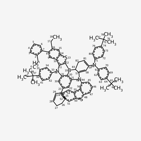 CCc1ccccc1-c1cc2c3c(sc2cc1CC)B1c2c(cc(C4=CCCC=C4)cc2N3c2ccc(C(C)(C)C)cc2)N(c2cccc3sc4ccccc4c23)C2=CC(N(c3ccc(C(C)(C)C)cc3)c3ccc(C(C)(C)C)cc3)=CCC12